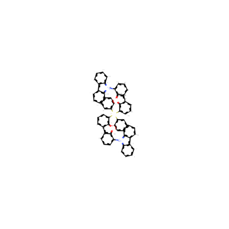 c1ccc(S(c2ccccc2)(c2cccc3c2oc2c(-n4c5ccccc5c5ccccc54)cccc23)c2cccc3c2oc2c(-n4c5ccccc5c5ccccc54)cccc23)cc1